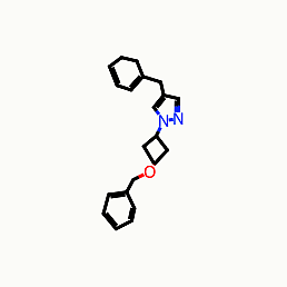 C1=CCCC(Cc2cnn(C3CC(OCc4ccccc4)C3)c2)=C1